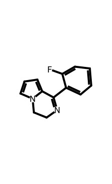 Fc1ccccc1C1=NCCn2cccc21